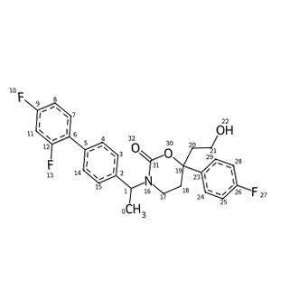 CC(c1ccc(-c2ccc(F)cc2F)cc1)N1CCC(CCO)(c2ccc(F)cc2)OC1=O